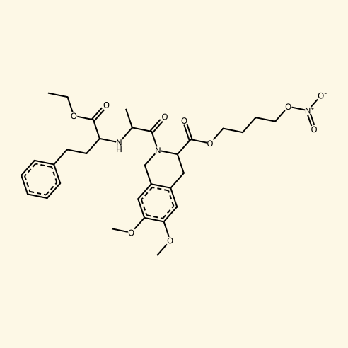 CCOC(=O)C(CCc1ccccc1)NC(C)C(=O)N1Cc2cc(OC)c(OC)cc2CC1C(=O)OCCCCO[N+](=O)[O-]